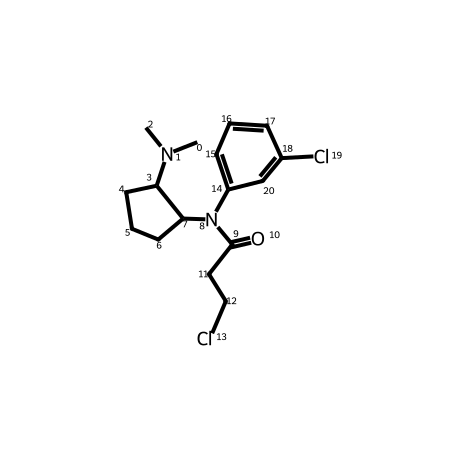 CN(C)C1CCCC1N(C(=O)CCCl)c1cccc(Cl)c1